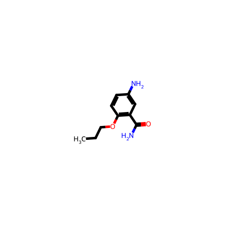 CCCOc1ccc(N)cc1C(N)=O